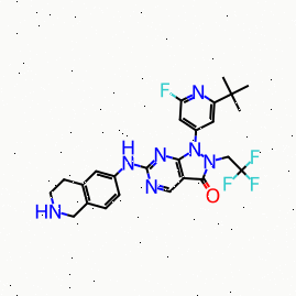 CC(C)(C)c1cc(-n2c3nc(Nc4ccc5c(c4)CCNC5)ncc3c(=O)n2CC(F)(F)F)cc(F)n1